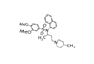 COc1ccc(S(=O)(=O)N(c2cccc3ccccc23)C(C)CCN2CCC(C)CC2)cc1OC